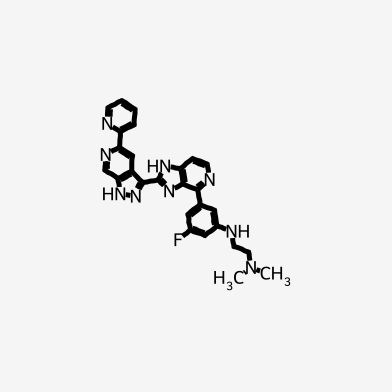 CN(C)CCNc1cc(F)cc(-c2nccc3[nH]c(-c4n[nH]c5cnc(-c6ccccn6)cc45)nc23)c1